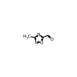 Cc1noc(C=O)n1